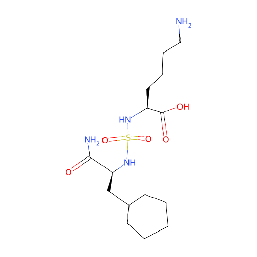 NCCCC[C@H](NS(=O)(=O)N[C@@H](CC1CCCCC1)C(N)=O)C(=O)O